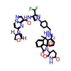 CC(N)(c1ccccc1CNCC1CCC(n2cc(NC(=O)c3cnn4ccc(N5C[C@H]6C[C@@H]5CO6)nc34)c(C(F)F)n2)CC1)c1cccc2c1C(=O)N(C1CCC(=O)NC1=O)C2=O